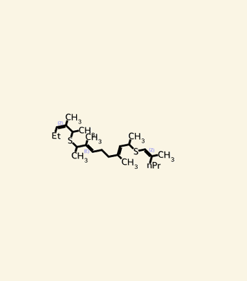 CC/C=C(/C)C(C)SC(C)/C(C)=C/CCC(C)=CC(C)S/C=C(/C)CCC